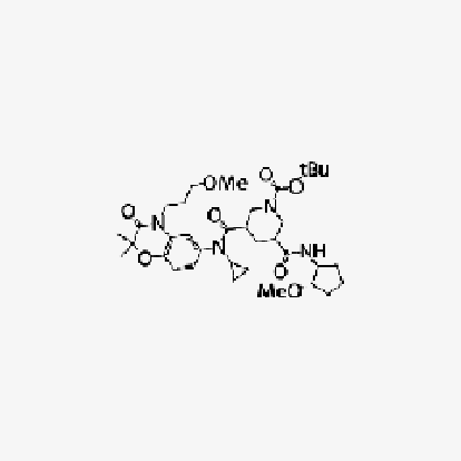 COCCCN1C(=O)C(C)(C)Oc2ccc(N(C(=O)[C@@H]3C[C@H](C(=O)N[C@H]4CCC[C@@H]4OC)CN(C(=O)OC(C)(C)C)C3)C3CC3)cc21